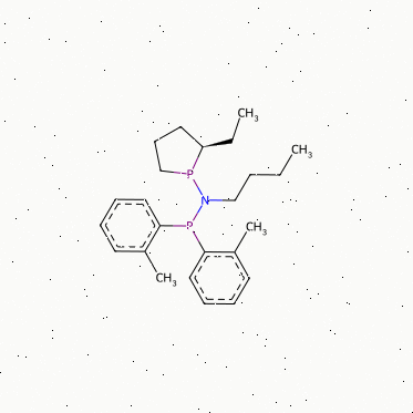 CCCCN(P(c1ccccc1C)c1ccccc1C)P1CCC[C@H]1CC